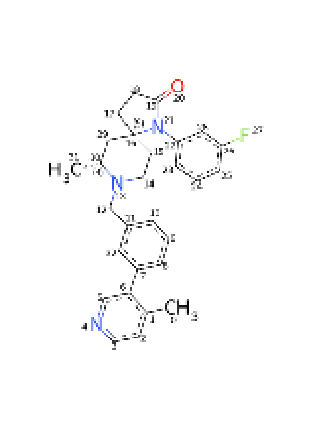 Cc1ccncc1-c1cccc(CN2CC[C@@]3(CCC(=O)N3c3cccc(F)c3)C[C@H]2C)c1